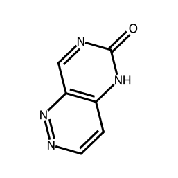 O=c1ncc2nnccc2[nH]1